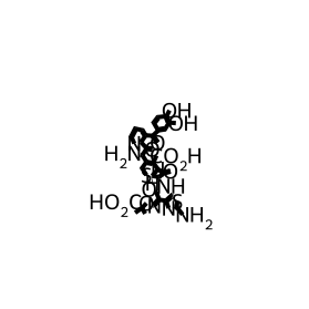 CC(C)(O/N=C(\C(=O)NC1C(=O)N2C(C(=O)O)=C(C(N)C(=O)c3ncccc3C(=O)c3ccc(O)c(O)c3)CS[C@H]12)c1csc(N)n1)C(=O)O